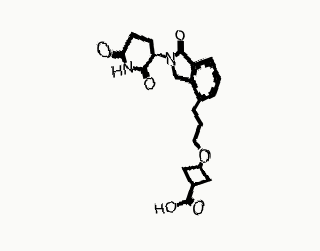 O=C1CC[C@@H](N2Cc3c(CCCOC4CC(C(=O)O)C4)cccc3C2=O)C(=O)N1